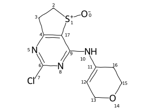 [O-][S+]1CCc2nc(Cl)nc(NC3=CCOCC3)c21